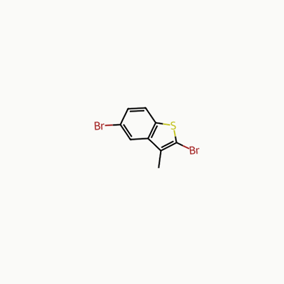 Cc1c(Br)sc2ccc(Br)cc12